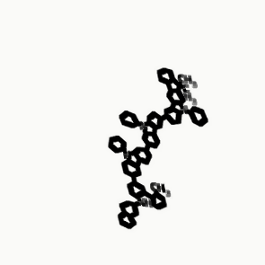 Cc1ccccc1-c1cc(-c2ccc3c(c2)c2ccc(-c4ccc5c6cc(-c7ccc8c(c7)c7cc9c(cc7n8-c7ccccc7)C(C)(C)c7ccccc7-9)ccc6n(-c6ccccc6)c5c4)cc2n3-c2ccccc2)ccc1Nc1ccc2ccccc2c1